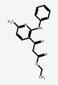 CCOC(=O)CC(=O)c1ccc(C)nc1Nc1ccccc1